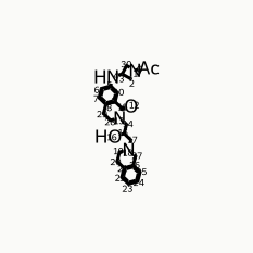 CC(=O)N1CC(Nc2ccc3c(c2)C(=O)N(CC(O)CN2CCc4ccccc4C2)CC3)C1